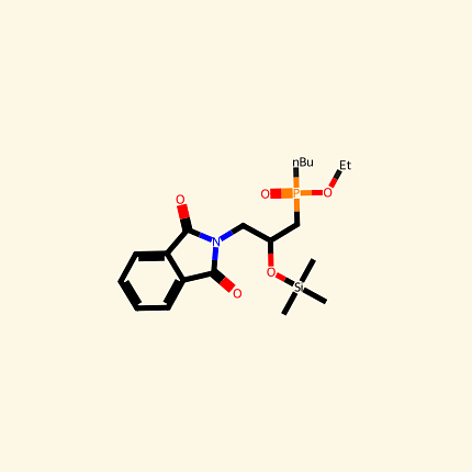 CCCCP(=O)(CC(CN1C(=O)c2ccccc2C1=O)O[Si](C)(C)C)OCC